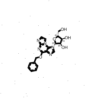 OC[C@H]1O[C@@H](n2cnc3c(OCc4ccccc4)nc4nccn4c32)[C@H](O)[C@@H]1O